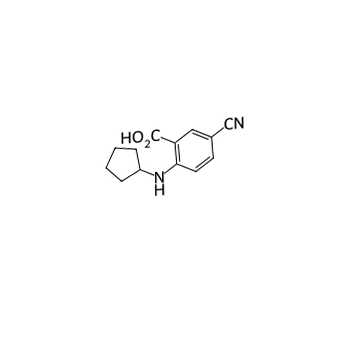 N#Cc1ccc(NC2CCCC2)c(C(=O)O)c1